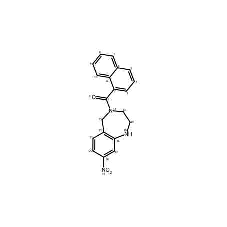 O=C(c1cccc2ccccc12)N1CCNc2cc([N+](=O)[O-])ccc2C1